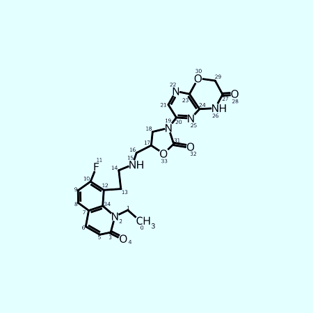 CCn1c(=O)ccc2ccc(F)c(CCNCC3CN(c4cnc5c(n4)NC(=O)CO5)C(=O)O3)c21